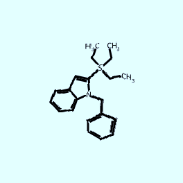 CCS(CC)(CC)c1cc2ccccc2n1Cc1ccccc1